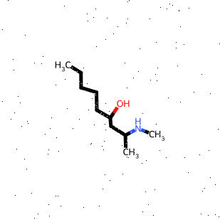 CCCCCC(O)CC(C)NC